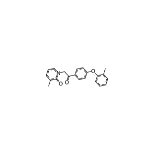 Cc1ccccc1Oc1ccc(C(=O)Cn2cccc(C)c2=O)cc1